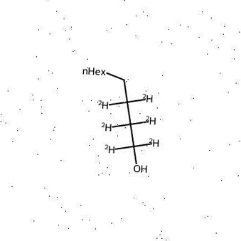 [2H]C([2H])(O)C([2H])([2H])C([2H])([2H])CCCCCCC